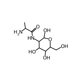 CC(N)C(=O)NC1C(O)OC(CO)C(O)C1O